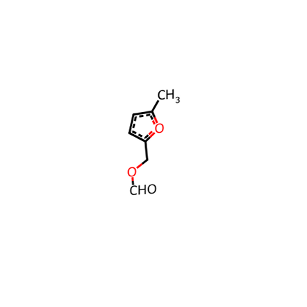 Cc1ccc(COC=O)o1